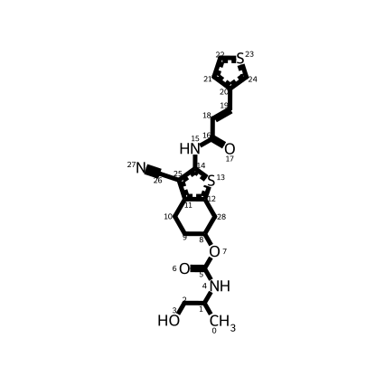 CC(CO)NC(=O)OC1CCc2c(sc(NC(=O)C=Cc3ccsc3)c2C#N)C1